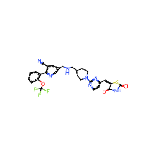 N#Cc1cc(CNCC2CCN(c3nccc(C=C4SC(=O)NC4=O)n3)CC2)cnc1-c1ccccc1OC(F)(F)F